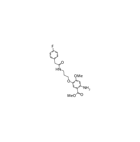 COC(=O)c1cc(OCCCNC(=O)Cc2ccc(F)cc2)c(OC)cc1N